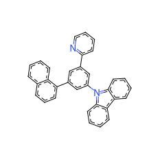 c1ccc(-c2cc(-c3cccc4ccccc34)cc(-n3c4ccccc4c4ccccc43)c2)nc1